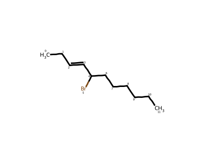 CCC=CC(Br)CCCCCC